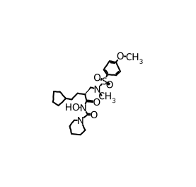 COc1ccc(S(=O)(=O)N(C)C[C@H](CCC2CCCC2)C(=O)N(O)C(=O)N2CCCCC2)cc1